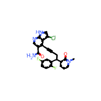 Cn1cccc(C(CC#Cc2c(C(N)=O)cnc3[nH]cc(Cl)c23)c2cc(F)ccc2F)c1=O